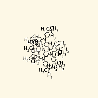 Cc1cc(C(C)(C)C)ccc1N1c2cc3c(cc2B2c4ccc(N(c5ccc(C(C)(C)C)cc5)c5ccc(C(C)(C)C)cc5)cc4N(c4ccc5c(c4)C(C)(C)CC5(C)C)c4cc(N(c5ccc(C(C)(C)C)cc5)c5ccc(C(C)(C)C)cc5)cc1c42)C(C)(C)CC3(C)C